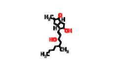 C=C1C[C@H]2[C@H](/C=C/[C@@H](O)C[C@@H](C)CCCC)[C@H](O)C[C@@H]2C1=O